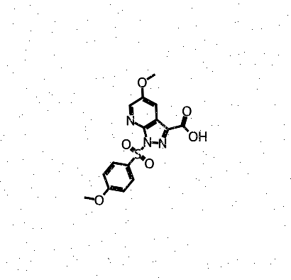 COc1ccc(S(=O)(=O)n2nc(C(=O)O)c3cc(OC)cnc32)cc1